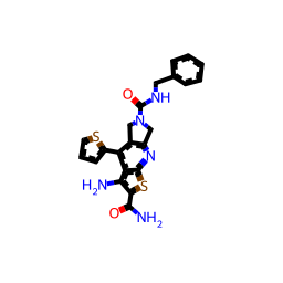 NC(=O)c1sc2nc3c(c(-c4cccs4)c2c1N)CN(C(=O)NCc1ccccc1)C3